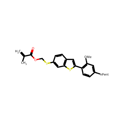 C=C(C)C(=O)OCSc1ccc2cc(-c3ccc(CCCCC)cc3OC)sc2c1